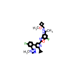 COC1(CN[C@@H](C)c2cc(F)c3oc(-c4cc(-c5ccc(F)cc5-c5nncn5C)cc(C5CC5)n4)nc3c2)CCC1